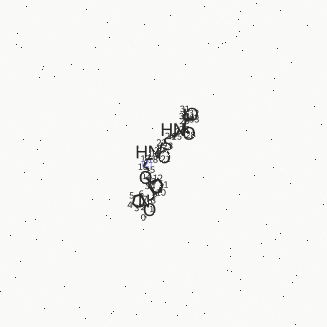 COC1CCCCN1Cc1cccc(OC/C=C\CNC(=O)CSCCNC(=O)c2ccoc2)c1